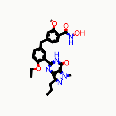 CCCc1nn(C)c2c(=O)[nH]c(-c3cc(Cc4ccc(C(=O)NO)c(OC)c4)ccc3OCC)nc12